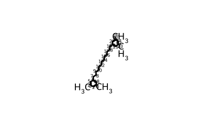 Cc1cc(C)cc(CCCCCCCCCCCCCc2cc(C)cc(C)c2)c1